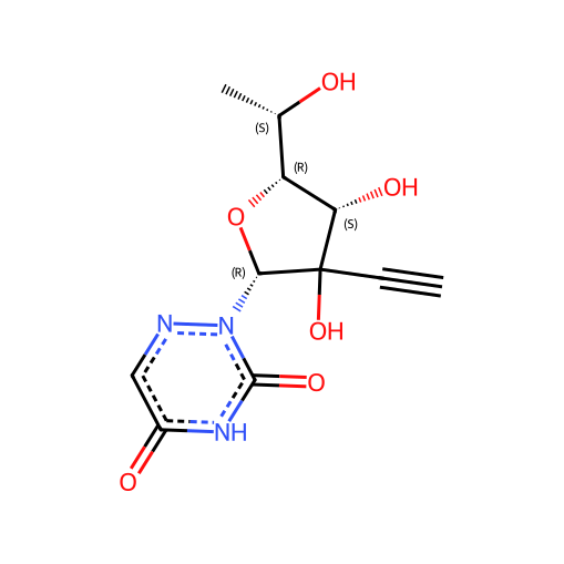 C#CC1(O)[C@@H](O)[C@@H]([C@H](C)O)O[C@H]1n1ncc(=O)[nH]c1=O